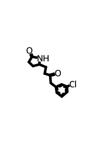 O=C(CCC1CCC(=O)N1)Cc1cccc(Cl)c1